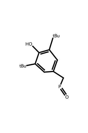 CC(C)(C)c1cc(CP=O)cc(C(C)(C)C)c1O